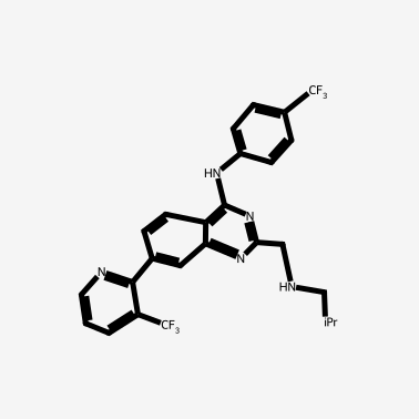 CC(C)CNCc1nc(Nc2ccc(C(F)(F)F)cc2)c2ccc(-c3ncccc3C(F)(F)F)cc2n1